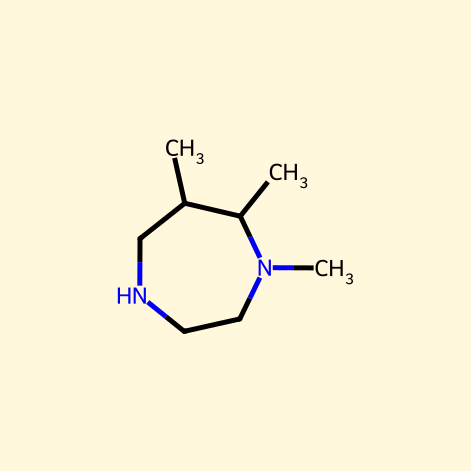 CC1CNCCN(C)C1C